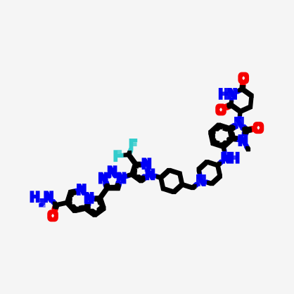 Cn1c(=O)n(C2CCC(=O)NC2=O)c2cccc(NC3CCN(CC4CCC(n5cc(-n6cc(-c7ccc8cc(C(N)=O)cnn78)nn6)c(C(F)F)n5)CC4)CC3)c21